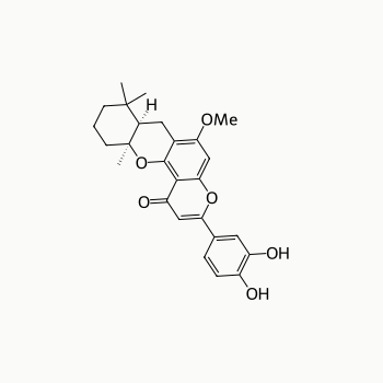 COc1cc2oc(-c3ccc(O)c(O)c3)cc(=O)c2c2c1C[C@@H]1C(C)(C)CCC[C@]1(C)O2